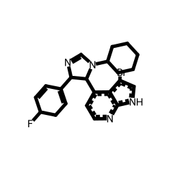 FC1C=CC(C2N=CN(C3CCCCC3)C2c2ccnc3[nH]cc(Br)c23)=CC1